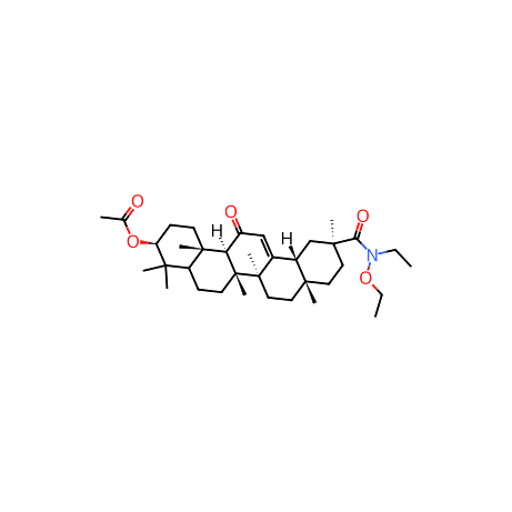 CCON(CC)C(=O)[C@@]1(C)CC[C@]2(C)CC[C@]3(C)C(=CC(=O)[C@@H]4[C@@]5(C)CC[C@H](OC(C)=O)C(C)(C)C5CC[C@]43C)[C@@H]2C1